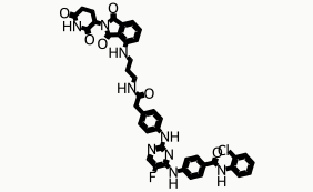 O=C(Cc1ccc(Nc2ncc(F)c(Nc3ccc(C(=O)Nc4ccccc4Cl)cc3)n2)cc1)NCCCNc1cccc2c1C(=O)N(C1CCC(=O)NC1=O)C2=O